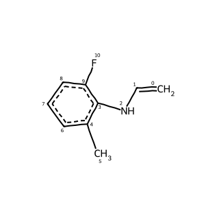 C=CNc1c(C)cccc1F